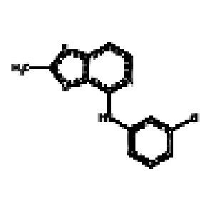 Cc1nc2c(Nc3cccc(Cl)c3)nccc2s1